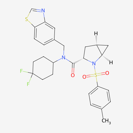 Cc1ccc(S(=O)(=O)N2[C@@H]3C[C@@H]3C[C@H]2C(=O)N(Cc2ccc3scnc3c2)C2CCC(F)(F)CC2)cc1